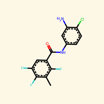 Cc1c(F)c(F)cc(C(=O)Nc2ccc(Cl)c(N)c2)c1F